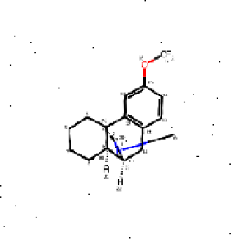 CN1CC[C@@]23CCCC[C@@H]2[C@H](Cc2ccc(OC(F)(F)F)cc23)C1